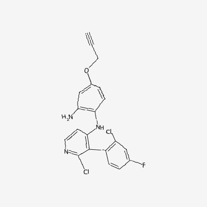 C#CCOc1ccc(Nc2ccnc(Cl)c2-c2ccc(F)cc2Cl)c(N)c1